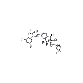 O=C(NC1(C(=O)NCC(F)(F)F)CC1)c1ccc(/C(F)=C/C(c2cc(Cl)cc(Br)c2)C(F)(F)F)cc1C(F)(F)F